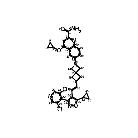 NC(=O)c1cc(OC2CC2)c2cc(N3CC4(CC(C=Cc5c(-c6c(Cl)cncc6Cl)noc5C5CC5)C4)C3)ccc2n1